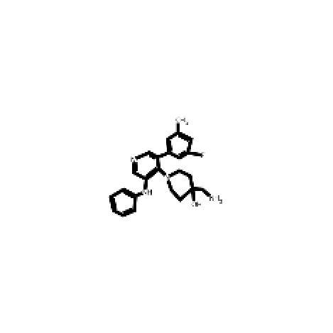 Cc1cc(F)cc(-c2cncc(Nc3ccccc3)c2N2CCC(O)(CN)CC2)c1